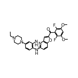 CCN1CCN(c2ccc(Nc3ccc4oc(C(=O)c5c(F)c(OC)cc(OC)c5F)cc4n3)c(N)c2)CC1